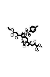 CCOC(=O)CC(=O)c1cc(CC([N+](=O)[O-])C(C)(C)CC(=O)C(OC)OC)n(S(=O)(=O)c2ccc(C)cc2)c1